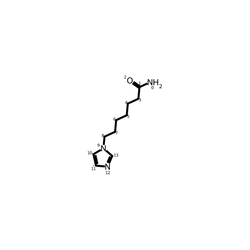 NC(=O)CCCCCCn1c[c]nc1